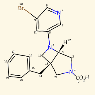 O=C(O)N1C[C@H]2N(c3cncc(Br)c3)C[C@@]2(Cc2ccccc2)C1